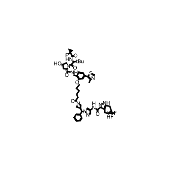 Cc1ncsc1-c1ccc(CNC(=O)[C@@H]2C[C@@H](O)CN2C(=O)C(NC(=O)C2(F)CC2)C(C)(C)C)c(OCCCCCC(=O)N2CC(C(c3ccccc3)n3cc(NC(=O)c4n[nH]c5c4C[C@@H]4C(F)(F)[C@]4(C)C5)cn3)C2)c1